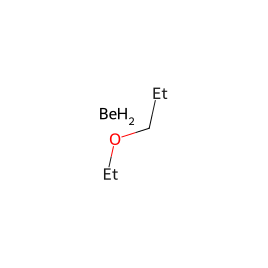 CCCOCC.[BeH2]